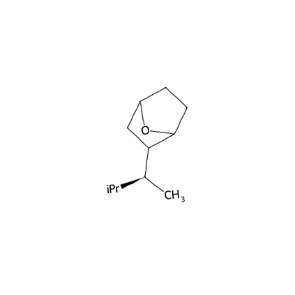 CC(C)[C@H](C)C1CC2CCC1O2